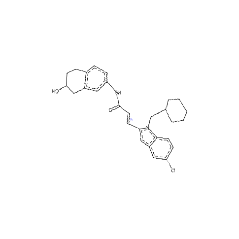 O=C(/C=C/c1cc2cc(Cl)ccc2n1CC1CCCCC1)Nc1ccc2c(c1)CC(O)CC2